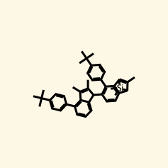 CC1=C(C)C(c2ccc3c(c2-c2ccc(C(C)(C)C)cc2)C2=C(C)C3[Si]2(C)C)c2cccc(-c3ccc(C(C)(C)C)cc3)c21